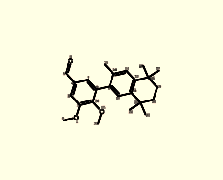 COc1cc(C=O)cc(-c2cc3c(cc2C)C(C)(C)CCC3(C)C)c1OC